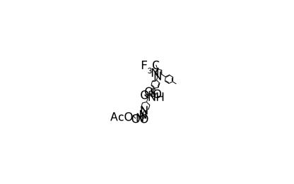 CC(=O)OCOn1on1N1CCC(C(=O)NS(=O)(=O)c2ccc(-n3nc(C(F)(F)F)cc3-c3ccc(C)cc3)cc2)CC1